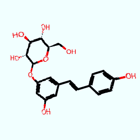 OC[C@H]1OC(Oc2cc(O)cc(C=Cc3ccc(O)cc3)c2)[C@H](O)[C@@H](O)[C@@H]1O